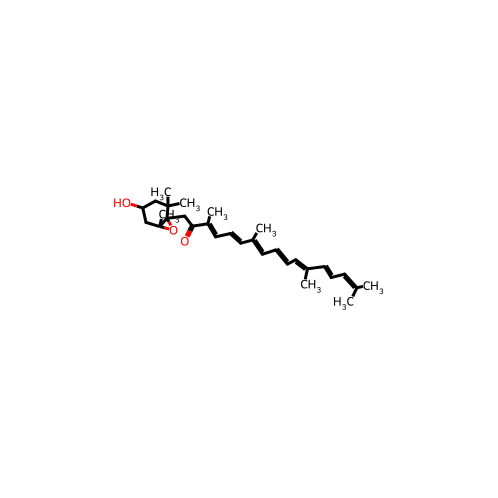 CC(C)=C/C=C/C(C)=C/C=C/C=C(C)/C=C/C=C(\C)C(=O)CC12OC1(C)CC(O)CC2(C)C